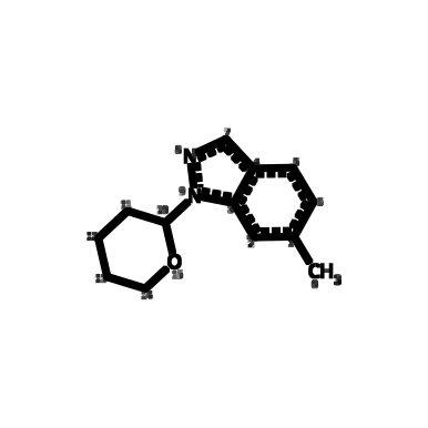 Cc1[c]c2c(cc1)cnn2C1CCCCO1